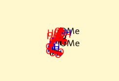 COc1cccc2c1C(=N)c1c(O)c3c(c(O)c1C2=O)C[C@@](O)(C(=O)CN(C)C1CCN(C(=O)OCc2ccc(NC(=O)C(C)NC(=O)C(NC(=O)CCCCCN4C(=O)C=CC4=O)C(C)C)cc2)CC1)C[C@@H]3O[C@H]1C[C@H]2[C@H](O[C@@H]3[C@@H](OC)OCCN32)[C@H](C)O1